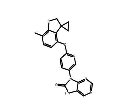 Cc1ccc(Oc2ccc(-n3c(=O)[nH]c4cncnc43)cn2)c2c1OCC21CC1